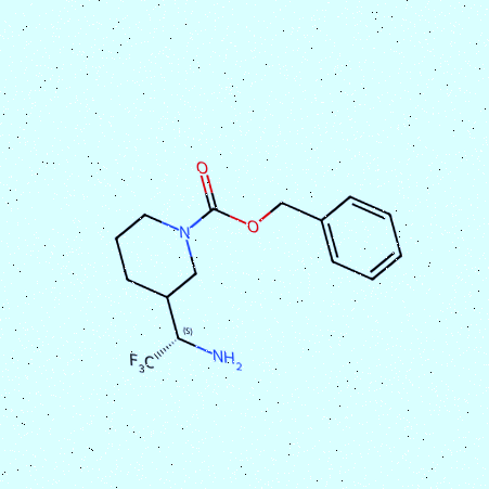 N[C@@H](C1CCCN(C(=O)OCc2ccccc2)C1)C(F)(F)F